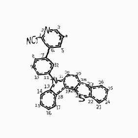 N#Cc1ncccc1-c1cccc(-n2c3ccccc3c3c4sc5ccccc5c4ccc32)c1